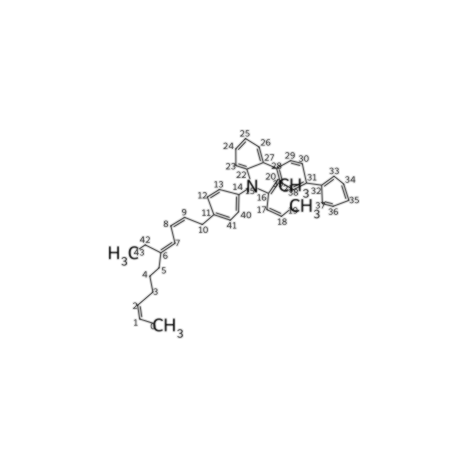 C/C=C\CCC/C(=C/C=C\Cc1ccc(N(C(/C=C\C)=C/C)c2ccccc2-c2ccc(-c3ccccc3)cc2)cc1)CC